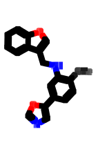 COc1ccc(-c2cnco2)cc1NCc1coc2ccccc12